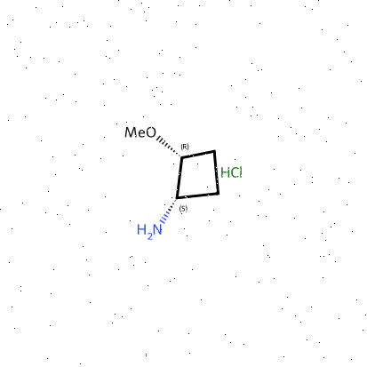 CO[C@@H]1CC[C@@H]1N.Cl